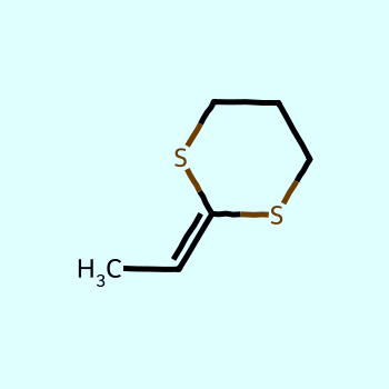 CC=C1SCCCS1